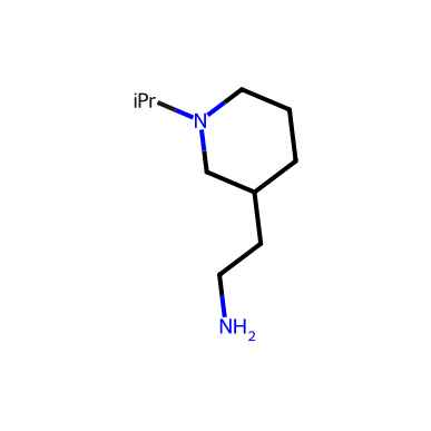 CC(C)N1CCCC(CCN)C1